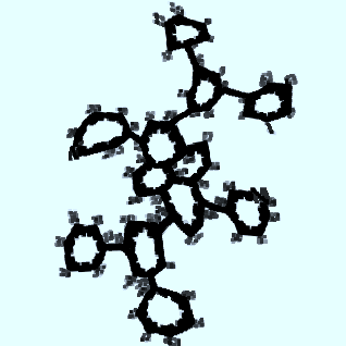 c1ccc(-c2cc(-c3ccccc3)cc(-c3cc(-c4cccnc4)c4ccc5c(-c6cc(-c7ccccc7)cc(-c7ccccc7)c6)cc(-c6cccnc6)c6ccc3c4c65)c2)cc1